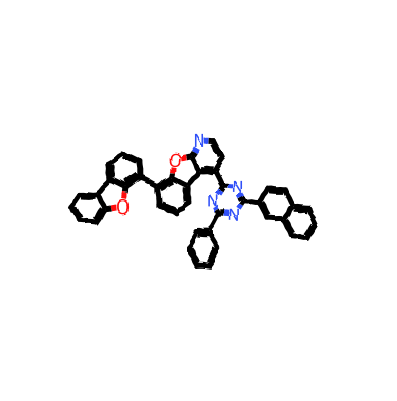 c1ccc(-c2nc(-c3ccc4ccccc4c3)nc(-c3ccnc4oc5c(-c6cccc7c6oc6ccccc67)cccc5c34)n2)cc1